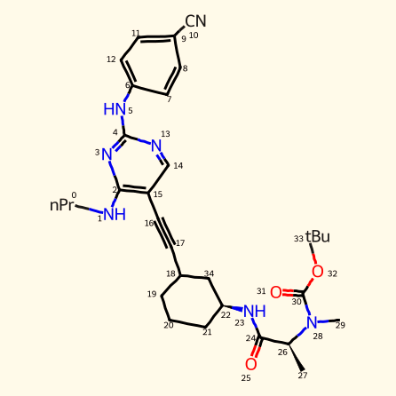 CCCNc1nc(Nc2ccc(C#N)cc2)ncc1C#CC1CCC[C@H](NC(=O)[C@H](C)N(C)C(=O)OC(C)(C)C)C1